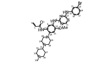 C=CC(=O)Nc1cc(Nc2ncnc(Nc3cccc(Br)c3)n2)c(OC)cc1N1CCN(C2CCN(C)CC2)CC1